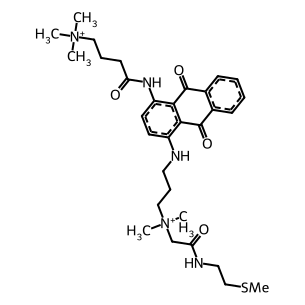 CSCCNC(=O)C[N+](C)(C)CCCNc1ccc(NC(=O)CCC[N+](C)(C)C)c2c1C(=O)c1ccccc1C2=O